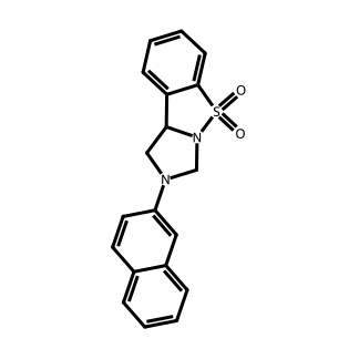 O=S1(=O)c2ccccc2C2CN(c3ccc4ccccc4c3)CN21